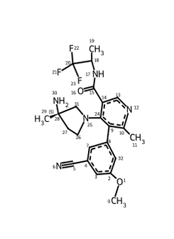 COc1cc(C#N)cc(-c2c(C)ncc(C(=O)NC(C)C(F)(F)F)c2N2CC[C@](C)(N)C2)c1